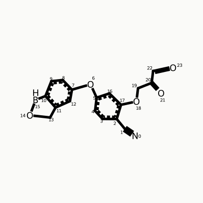 N#Cc1ccc(Oc2ccc3c(c2)COB3)cc1OCC(=O)C=O